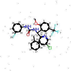 COc1ccc(C(F)(F)F)cc1[C@](Cc1ccccc1)(NC(=O)Nc1cccc(F)c1)c1ccc(Cl)cn1